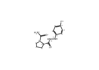 NC(=O)N1CCC[C@@H]1C(=O)NNc1ccc(F)cc1